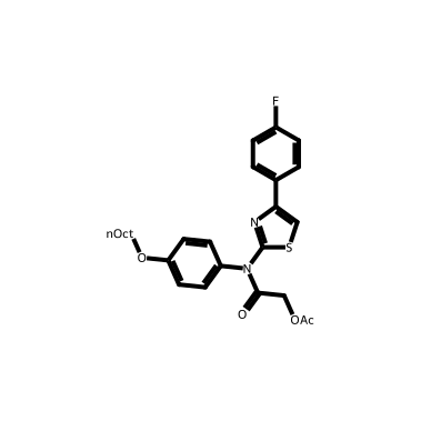 CCCCCCCCOc1ccc(N(C(=O)COC(C)=O)c2nc(-c3ccc(F)cc3)cs2)cc1